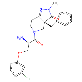 CN1N=C2CCN(C(=O)[C@H](N)COc3cccc(Cl)c3)C[C@@]2(Cc2ccccc2)C1=O